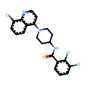 O=C(NC1CCN(c2ccnc3c(Cl)cccc23)CC1)c1cccc(Cl)c1Cl